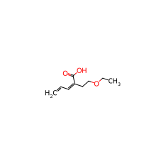 C=CC=C(CCOCC)C(=O)O